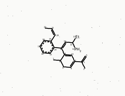 C=C(C)C1=CCC(C)C(/C(=C\C(P)CC)c2ccccc2/C=C\C)=C1